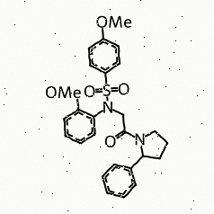 COc1ccc(S(=O)(=O)N(CC(=O)N2CCCC2c2ccccc2)c2ccccc2OC)cc1